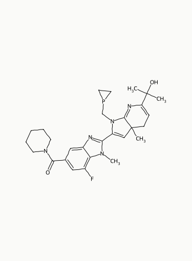 Cn1c(C2=CC3(C)CC=C(C(C)(C)O)N=C3N2CP2CC2)nc2cc(C(=O)N3CCCCC3)cc(F)c21